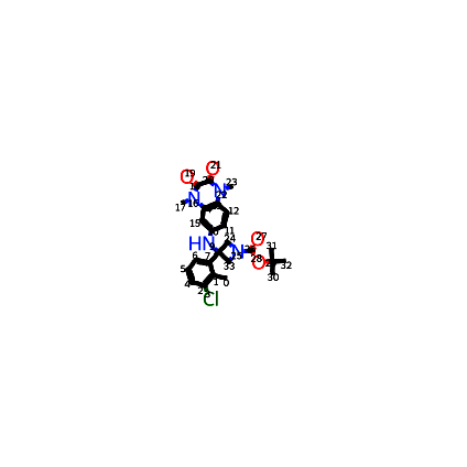 Cc1c(Cl)cccc1C1(Nc2ccc3c(c2)n(C)c(=O)c(=O)n3C)CN(C(=O)OC(C)(C)C)C1